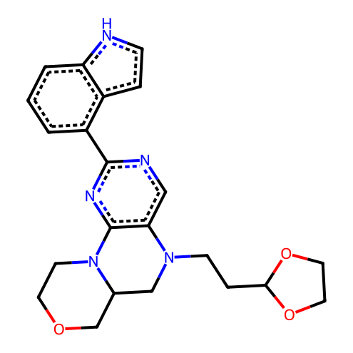 c1cc(-c2ncc3c(n2)N2CCOCC2CN3CCC2OCCO2)c2cc[nH]c2c1